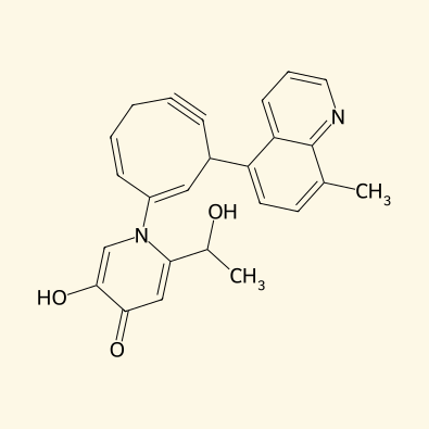 Cc1ccc(C2C#CC/C=C\C(n3cc(O)c(=O)cc3C(C)O)=C/2)c2cccnc12